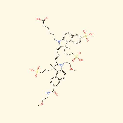 COCCNC(=O)c1ccc2c3c(ccc2c1)[N+](CCOC)=C(/C=C/C=C1/N(CCCCCC(=O)O)c2ccc4cc(S(=O)(=O)O)ccc4c2C1(C)CCCS(=O)(=O)O)C3(C)CCCS(=O)(=O)O